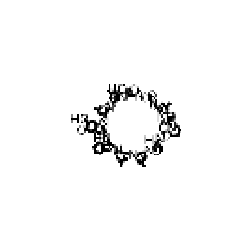 CC[C@H]1C(=O)N[C@@H](CC(C)C)C(=O)N(C)[C@@H](CC(C)C)C(=O)N(C)[C@@H](Cc2ccccc2)C(=O)N[C@@H](Cc2ccc(O)c(OC)c2)C(=O)N(C)[C@@H](CC(C)C)C(=O)N(C)[C@@H](CC(C)C)C(=O)N[C@@H]([C@@H](C)O)C(=O)N(C)CC(=O)N(C)[C@@H](CC(C)C)C(=O)N[C@H](C(=O)N2CCCCC2)CC(=O)N1C